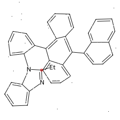 CCc1nc2ccccc2n1-c1ccccc1-c1c2ccccc2c(-c2cccc3ccccc23)c2ccccc12